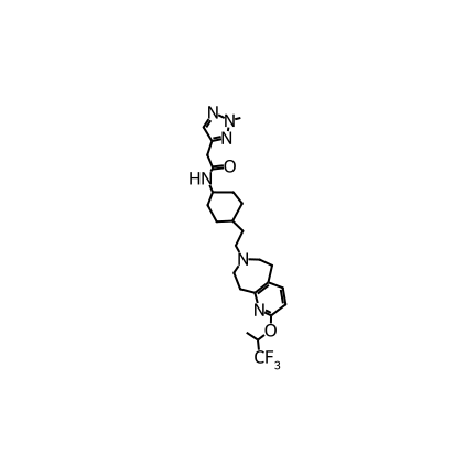 CC(Oc1ccc2c(n1)CCN(CCC1CCC(NC(=O)Cc3cnn(C)n3)CC1)CC2)C(F)(F)F